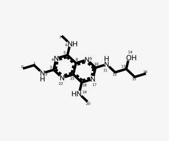 CCNc1nc(NC)c2nc(NCC(O)CC)nc(NC)c2n1